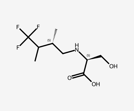 CC([C@H](C)CN[C@@H](CO)C(=O)O)C(F)(F)F